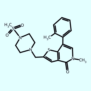 Cc1ccccc1-c1cn(C)c(=O)c2cc(CN3CCN(S(C)(=O)=O)CC3)sc12